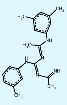 CC(=N)/N=C(\N=C(/C)Nc1cc(C)cc(C)c1)Nc1cccc(C)c1